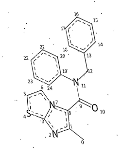 Cc1nc2sccn2c1C(=O)N(Cc1ccccc1)c1ccccc1